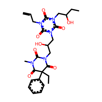 C=CCn1c(=O)n(CC(O)CC)c(=O)n(CC(O)CN2C(=O)N(C)C(=O)C(CC)(c3ccccc3)C2=O)c1=O